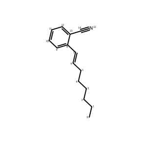 CCCCCC/C=C/c1ccccc1C#N